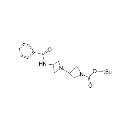 CC(C)(C)OC(=O)N1CC(N2CC(NC(=O)c3ccccc3)C2)C1